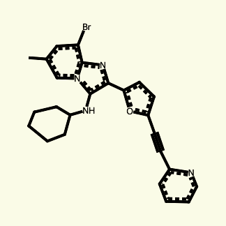 Cc1cc(Br)c2nc(-c3ccc(C#Cc4ccccn4)o3)c(NC3CCCCC3)n2c1